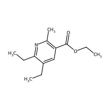 CCOC(=O)c1cc(CC)c(CC)nc1C